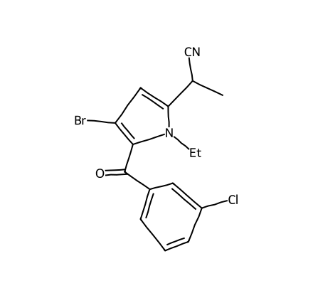 CCn1c(C(C)C#N)cc(Br)c1C(=O)c1cccc(Cl)c1